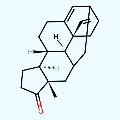 C=C[C@]12CCC3C=C1CC[C@@H]1[C@@H]2C(C3)C[C@]2(C)C(=O)CC[C@@H]12